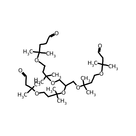 CC(C)(CC=O)OCCC(C)(C)OCC(COC(C)(C)CCOC(C)(C)CCC=O)OC(C)(C)CCOC(C)(C)CC=O